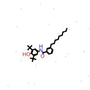 CCCCCCCCCc1cccc(C(=O)Nc2cc(C(C)(C)C)c(O)c(C(C)(C)C)c2)c1